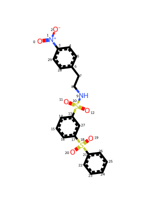 O=[N+]([O-])c1ccc(CCNS(=O)(=O)c2cccc(S(=O)(=O)c3ccccc3)c2)cc1